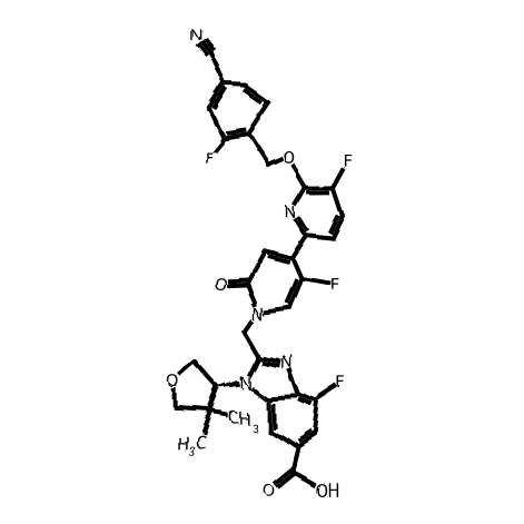 CC1(C)COC[C@H]1n1c(Cn2cc(F)c(-c3ccc(F)c(OCc4ccc(C#N)cc4F)n3)cc2=O)nc2c(F)cc(C(=O)O)cc21